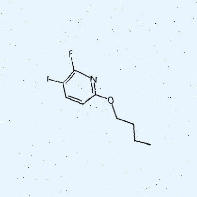 CCCCOc1ccc(I)c(F)n1